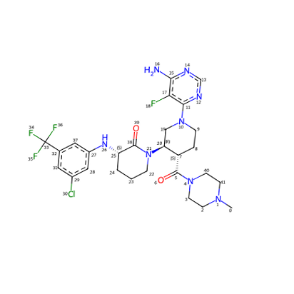 CN1CCN(C(=O)[C@H]2CCN(c3ncnc(N)c3F)C[C@@H]2N2CCC[C@H](Nc3cc(Cl)cc(C(F)(F)F)c3)C2=O)CC1